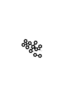 CC1(C)c2ccccc2-c2ccc(N(c3cccc(-c4ccccc4)c3)c3cccc4oc5c(-c6cccc7c6-c6ccccc6C7(c6ccccc6)c6ccccc6)c6c(cc5c34)oc3ccccc36)cc21